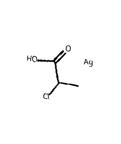 CC(Cl)C(=O)O.[Ag]